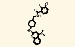 CN(C)c1cc(NC2CCC(CNC(=O)c3cccc(Cl)c3F)CC2)nc2ccccc12